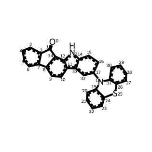 O=C1c2ccccc2-c2ccc3c([nH]c4ccc(N5c6ccccc6Sc6ccccc65)cc43)c21